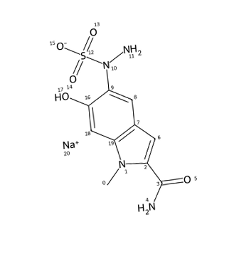 Cn1c(C(N)=O)cc2cc(N(N)S(=O)(=O)[O-])c(O)cc21.[Na+]